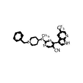 CN(c1ncc(C#N)c(-c2c[nH]c3ncc(C(F)(F)F)cc23)n1)C1CCN(Cc2ccccc2)CC1